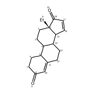 CC[C@]12CCC3C4CCC(=O)C=C4CCC3C1C=CC2=O